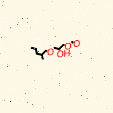 CCCC(C)COCC(O)COC=O